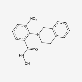 O=C(NO)c1cccc([N+](=O)[O-])c1N1CCc2ccccc2C1